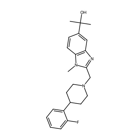 Cn1c(CN2CCC(c3ccccc3F)CC2)nc2cc(C(C)(C)O)ccc21